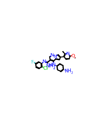 COc1ccc(-c2cc3c(N[C@H]4CC[C@H](N)CC4)c(/C(N)=N/c4cc(F)ccc4Cl)cnn3c2)c(C)n1